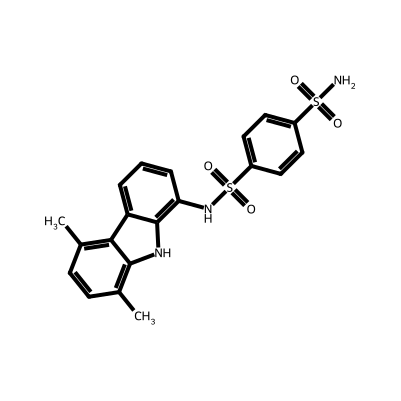 Cc1ccc(C)c2c1[nH]c1c(NS(=O)(=O)c3ccc(S(N)(=O)=O)cc3)cccc12